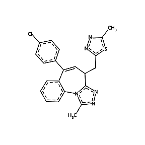 Cc1nnc(CC2C=C(c3ccc(Cl)cc3)c3ccccc3-n3c(C)nnc32)s1